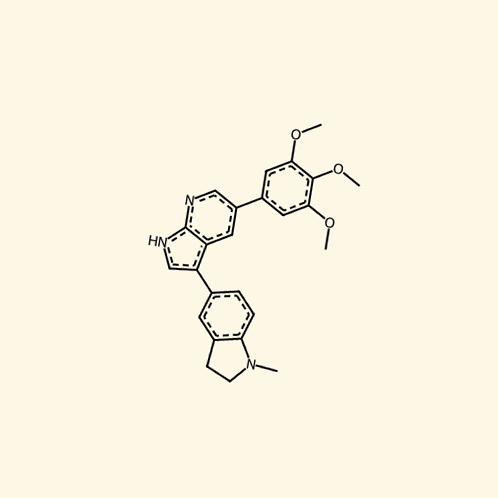 COc1cc(-c2cnc3[nH]cc(-c4ccc5c(c4)CCN5C)c3c2)cc(OC)c1OC